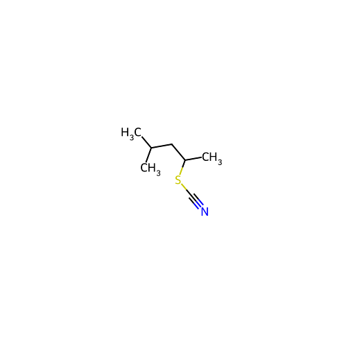 CC(C)CC(C)SC#N